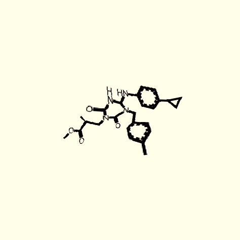 COC(=O)[C@@H](C)CN1C(=O)NC(Nc2ccc(C3CC3)cc2)N(Cc2ccc(C)cc2)C1=O